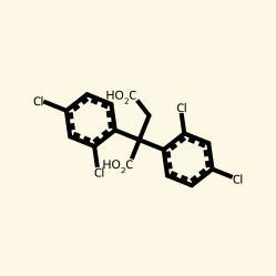 O=C(O)CC(C(=O)O)(c1ccc(Cl)cc1Cl)c1ccc(Cl)cc1Cl